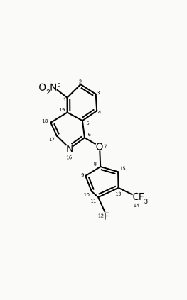 O=[N+]([O-])c1cccc2c(Oc3ccc(F)c(C(F)(F)F)c3)nccc12